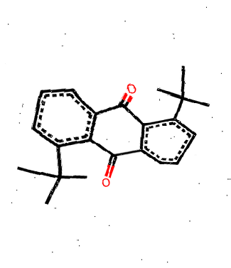 CC(C)(C)c1cccc2c1C(=O)c1cccc(C(C)(C)C)c1C2=O